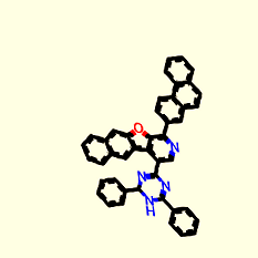 c1ccc(C2=NC(c3cnc(-c4ccc5c(ccc6ccccc65)c4)c4oc5cc6ccccc6cc5c34)=NC(c3ccccc3)N2)cc1